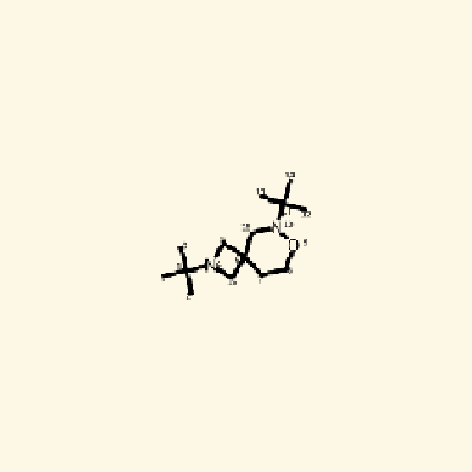 CC(C)(C)N1CC2(CCON(C(C)(C)C)C2)C1